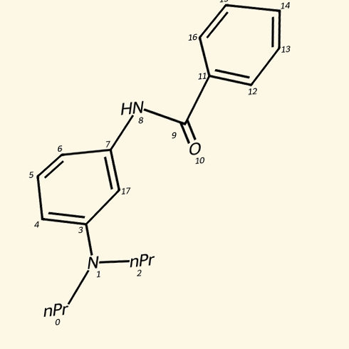 CCCN(CCC)c1cccc(NC(=O)c2ccccc2)c1